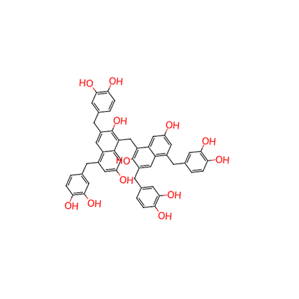 Oc1cc(Cc2ccc(O)c(O)c2)c2cc(Cc3ccc(O)c(O)c3)c(O)c(Cc3c(O)c(Cc4ccc(O)c(O)c4)cc4c(Cc5ccc(O)c(O)c5)cc(O)cc34)c2c1